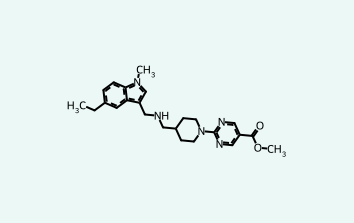 CCc1ccc2c(c1)c(CNCC1CCN(c3ncc(C(=O)OC)cn3)CC1)cn2C